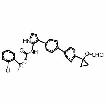 C[C@@H](OC(=O)Nc1[nH]ccc1-c1ccc(-c2ccc(C3(OC=O)CC3)cc2)cc1)c1ccccc1Cl